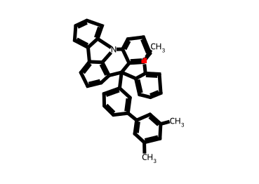 CSc1ccccc1C1(c2cccc(-c3cc(C)cc(C)c3)c2)c2ccccc2-n2c3ccccc3c3cccc1c32